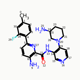 Cc1ccc(-c2ccc(N)c(C(=O)Nc3cnccc3N3CCC[C@H](N)C3)n2)c(F)c1